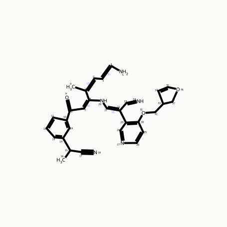 CC(=C/C=C/N)/C(=C\C(=O)c1cccc(C(C)C#N)c1)N/C=C(\C=N)c1cnccc1OCC1C=COC1